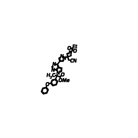 CCS(=O)(=O)N1CC(CC#N)(n2cc(-c3ncnc4c3ccn4C(C)(C(=O)OC)c3cccc(Oc4ccccc4)c3)cn2)C1